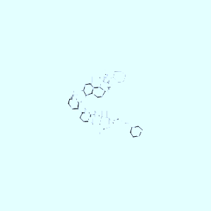 Cc1ccc2c(NS(=O)(=O)C3CCCCC3)c(F)ccc2c1Oc1ncccc1-c1ccnc(N[C@H]2C[C@@H](C)CN(C(=O)OCc3ccccc3)C2)n1